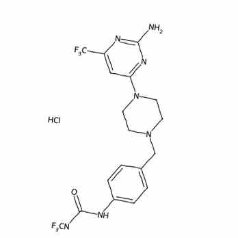 Cl.Nc1nc(N2CCN(Cc3ccc(NC(=O)NC(F)(F)F)cc3)CC2)cc(C(F)(F)F)n1